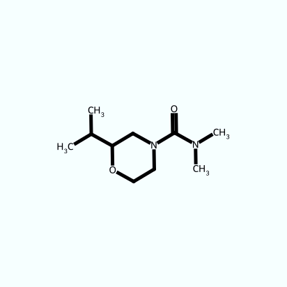 CC(C)C1CN(C(=O)N(C)C)CCO1